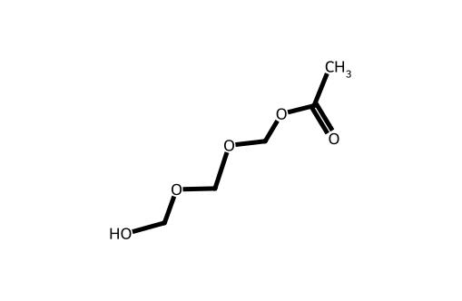 CC(=O)OCOCOCO